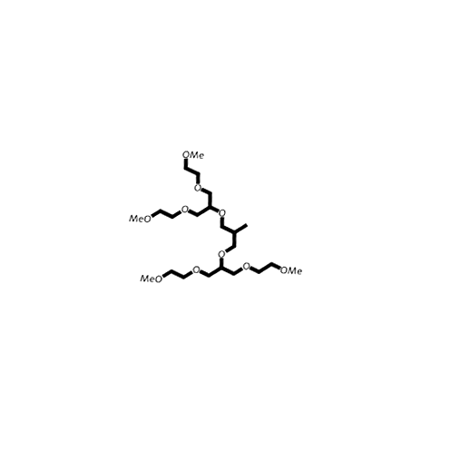 COCCOCC(COCCOC)OCC(C)COC(COCCOC)COCCOC